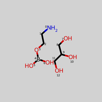 NCCOB(O)O.OCC(O)CO